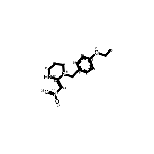 CCOc1ccc(CN2CCCNC2=C[N+](=O)[O-])cc1